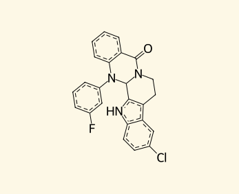 O=C1c2ccccc2N(c2cccc(F)c2)C2c3[nH]c4ccc(Cl)cc4c3CCN12